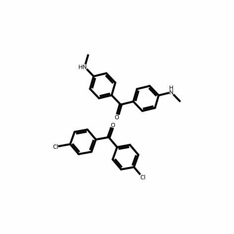 CNc1ccc(C(=O)c2ccc(NC)cc2)cc1.O=C(c1ccc(Cl)cc1)c1ccc(Cl)cc1